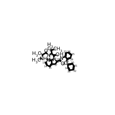 CN[C@@H](C)C(=O)NC(C(=O)N1c2ncccc2CC1C(=O)Nc1ccccc1Oc1ccccc1)C(C)C